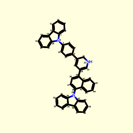 C1=C(c2ccc(-n3c4ccccc4c4ccccc43)cc2)CNC=C1c1ccc(-n2c3ccccc3c3ccccc32)c2ccccc12